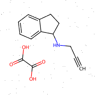 C#CCNC1CCc2ccccc21.O=C(O)C(=O)O